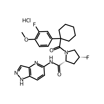 COc1ccc(C2(C(=O)N3C[C@H](F)C[C@@H]3C(=O)Nc3ccc4[nH]ncc4n3)CCCCC2)cc1F.Cl